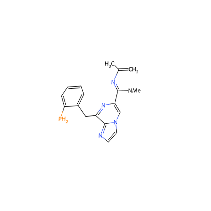 C=C(C)/N=C(\NC)c1cn2ccnc2c(Cc2ccccc2P)n1